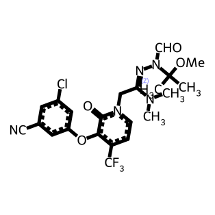 COC(C)(C)N(C=O)/N=C(/Cn1ccc(C(F)(F)F)c(Oc2cc(Cl)cc(C#N)c2)c1=O)N(C)C